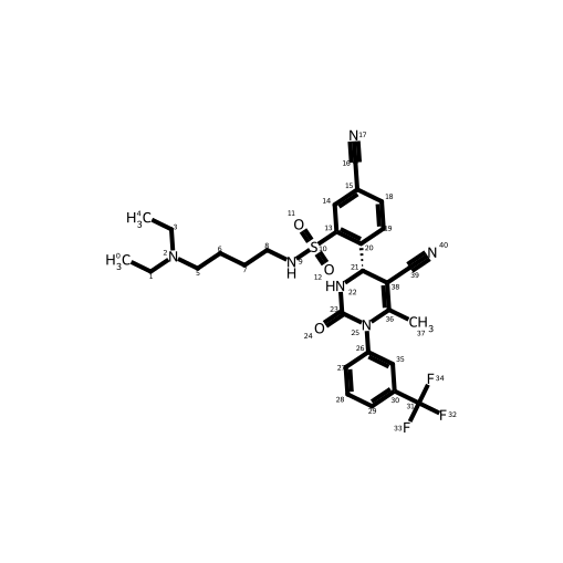 CCN(CC)CCCCNS(=O)(=O)c1cc(C#N)ccc1[C@H]1NC(=O)N(c2cccc(C(F)(F)F)c2)C(C)=C1C#N